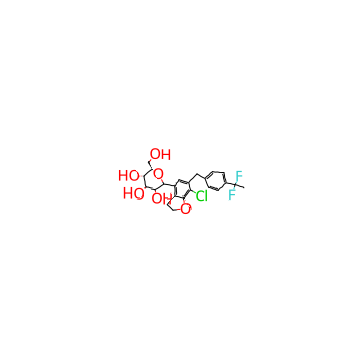 CC(F)(F)c1ccc(Cc2cc(C3O[C@H](CO)[C@@H](O)[C@H](O)C3O)c3c(c2Cl)OCC3)cc1